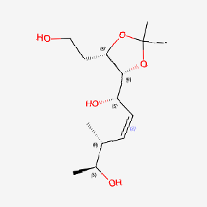 C[C@H](O)[C@H](C)/C=C\[C@H](O)[C@H]1OC(C)(C)O[C@H]1CCO